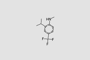 CNc1ccc(C(F)(F)F)cc1C(C)C